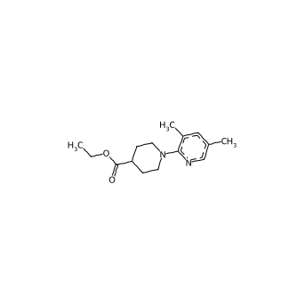 CCOC(=O)C1CCN(c2ncc(C)cc2C)CC1